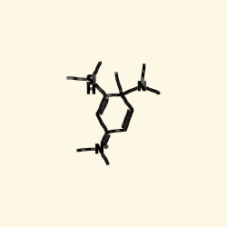 CN(C)C1(C)C=CC(=[N+](C)C)C=C1[SiH](C)C